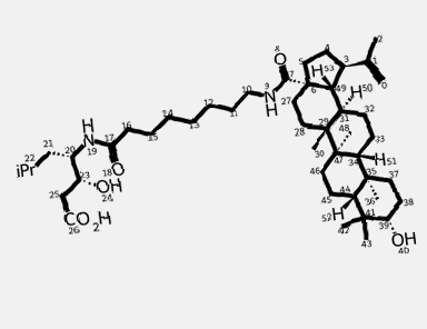 C=C(C)[C@@H]1CC[C@]2(C(=O)NCCCCCCCC(=O)N[C@@H](CC(C)C)[C@H](O)CC(=O)O)CC[C@]3(C)[C@H](CC[C@@H]4[C@@]5(C)CC[C@H](O)C(C)(C)[C@@H]5CC[C@]43C)[C@@H]12